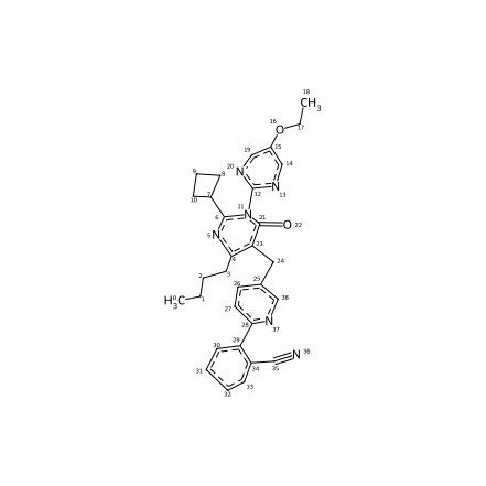 CCCCc1nc(C2CCC2)n(-c2ncc(OCC)cn2)c(=O)c1Cc1ccc(-c2ccccc2C#N)nc1